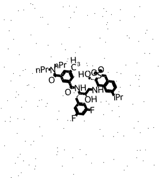 CCCN(CCC)C(=O)c1cc(C)cc(C(=O)N[C@@H](Cc2cc(F)cc(F)c2)[C@H](O)CN[C@H]2c3cc(C(C)C)ccc3CS(=O)(=O)[C@H]2CO)c1